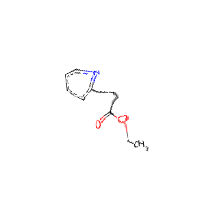 CCOC(=O)[CH]c1ccccn1